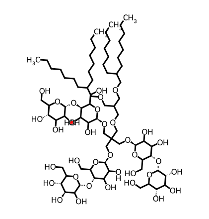 CCCCCCCC(CCCCCCC)COCC(COCC(CCCCCCC)CCCCCCC)COCC(CO[C@@H]1OC(CO)[C@@H](O[C@H]2OC(CO)[C@@H](O)[C@H](O)C2O)C(O)C1O)(CO[C@@H]1OC(CO)[C@@H](O[C@H]2OC(CO)[C@@H](O)C(O)[C@H]2O)C(O)C1O)CO[C@@H]1OC(CO)[C@H](O[C@H]2OC(CO)[C@@H](O)C(O)C2O)C(O)C1O